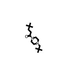 CC(C)(C)CCC(=O)N1CCN(CC(C)(C)C)CC1